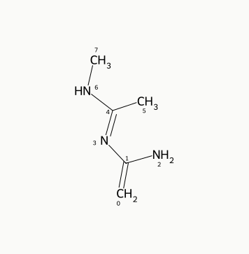 C=C(N)/N=C(\C)NC